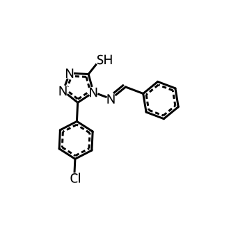 Sc1nnc(-c2ccc(Cl)cc2)n1N=Cc1ccccc1